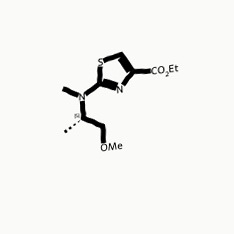 CCOC(=O)c1csc(N(C)[C@@H](C)COC)n1